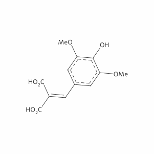 COc1cc(C=C(C(=O)O)C(=O)O)cc(OC)c1O